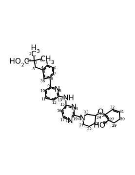 CC(C)(Cc1cccc(-c2cccc(Nc3ccnc(N4CCCC(OC5=C(O)CCC=C5)C4)n3)n2)c1)C(=O)O